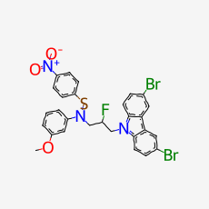 COc1cccc(N(CC(F)Cn2c3ccc(Br)cc3c3cc(Br)ccc32)Sc2ccc([N+](=O)[O-])cc2)c1